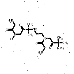 BCC(=O)N(CCNC(C)(C)C(=O)CN(CC)C(=O)CB)CC(=O)C(C)(C)NC